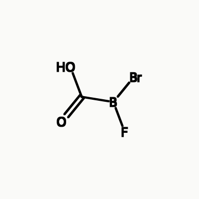 O=C(O)B(F)Br